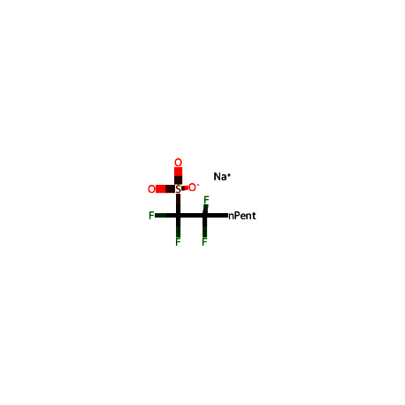 CCCCCC(F)(F)C(F)(F)S(=O)(=O)[O-].[Na+]